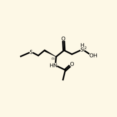 CSCC[C@H](NC(C)=O)C(=O)C[SiH2]O